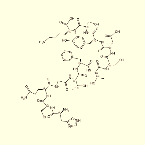 C[C@@H](O)[C@H](NC(=O)CNC(=O)[C@H](CCC(N)=O)NC(=O)[C@H](CO)NC(=O)[C@@H](N)Cc1c[nH]cn1)C(=O)N[C@@H](Cc1ccccc1)C(=O)N[C@H](C(=O)N[C@@H](CO)C(=O)N[C@@H](CC(=O)O)C(=O)N[C@@H](Cc1ccc(O)cc1)C(=O)N[C@@H](CO)C(=O)N[C@@H](CCCCN)C(=O)O)[C@@H](C)O